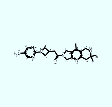 Cc1c2c(nc3c1CN(C(=O)CC1CN(c4ncc(C(F)(F)F)cn4)C1)C3)CC(C)(C)OC2